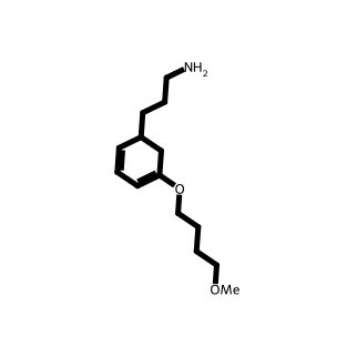 COCCCCOC1=CC=CC(CCCN)C1